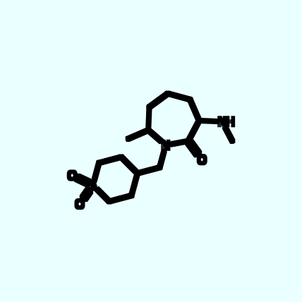 CNC1CCCC(C)N(CC2CCS(=O)(=O)CC2)C1=O